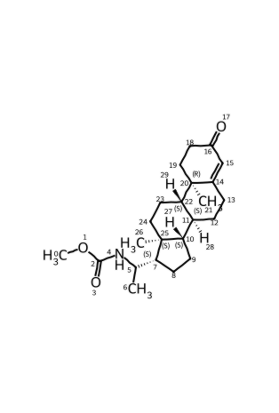 COC(=O)NC(C)[C@H]1CC[C@H]2[C@@H]3CCC4=CC(=O)CC[C@]4(C)[C@H]3CC[C@]12C